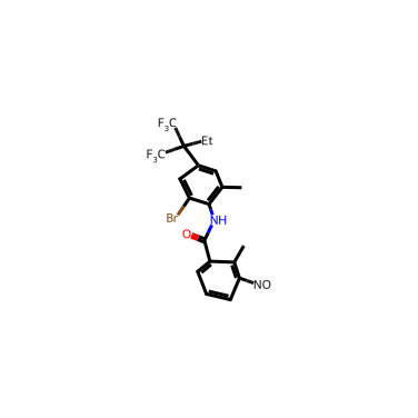 CCC(c1cc(C)c(NC(=O)c2cccc(N=O)c2C)c(Br)c1)(C(F)(F)F)C(F)(F)F